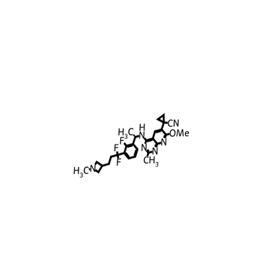 COc1nc2nc(C)nc(N[C@H](C)c3cccc(C(F)(F)CCC4CN(C)C4)c3F)c2cc1C1(C#N)CC1